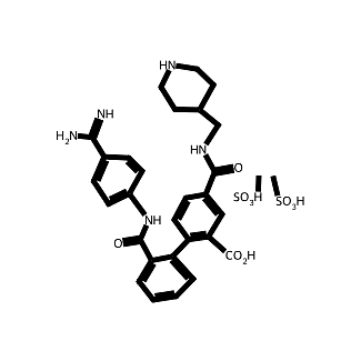 CS(=O)(=O)O.CS(=O)(=O)O.N=C(N)c1ccc(NC(=O)c2ccccc2-c2ccc(C(=O)NCC3CCNCC3)cc2C(=O)O)cc1